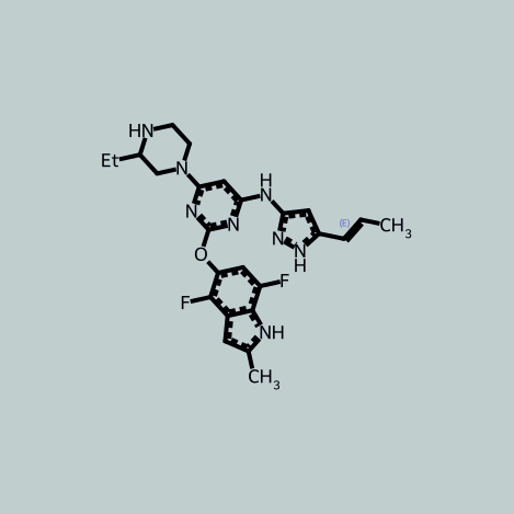 C/C=C/c1cc(Nc2cc(N3CCNC(CC)C3)nc(Oc3cc(F)c4[nH]c(C)cc4c3F)n2)n[nH]1